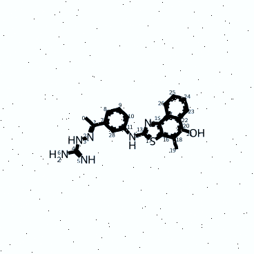 CC(=NNC(=N)N)c1cccc(Nc2nc3c(s2)c(C)c(O)c2ccccc23)c1